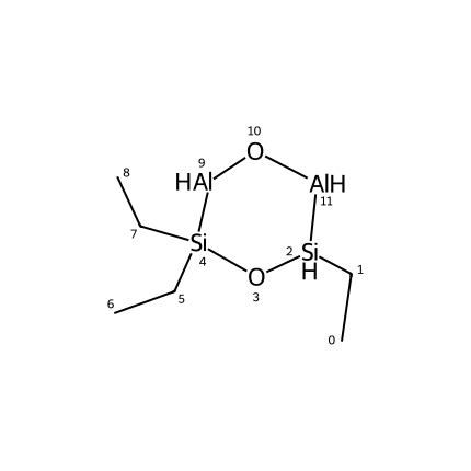 CC[SiH]1O[Si](CC)(CC)[AlH][O][AlH]1